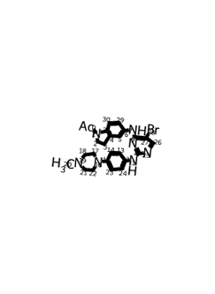 CC(=O)N1CCc2cc(Nc3nc(Nc4ccc(N5CCN(C)CC5)cc4)ncc3Br)ccc21